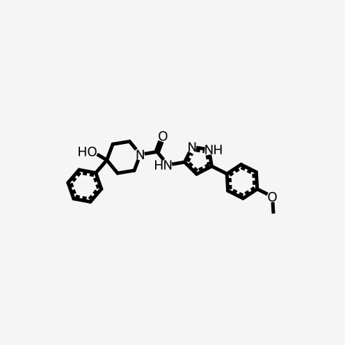 COc1ccc(-c2cc(NC(=O)N3CCC(O)(c4ccccc4)CC3)n[nH]2)cc1